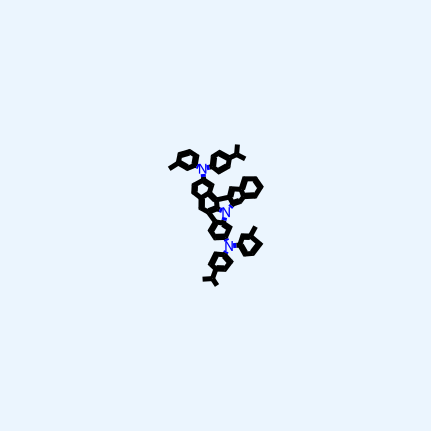 Cc1cccc(N(c2ccc(C(C)C)cc2)c2ccc3cc4c5ccc(N(c6ccc(C(C)C)cc6)c6cccc(C)c6)cc5n5c6cc7ccccc7cc6c(c3c2)c45)c1